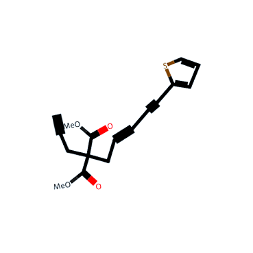 C#CCC(CC#CC#Cc1cccs1)(C(=O)OC)C(=O)OC